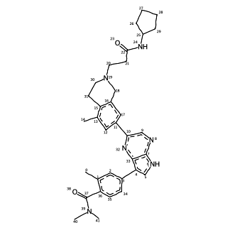 Cc1cc(-c2c[nH]c3ncc(-c4cc(C)c5c(c4)CN(CCC(=O)NC4CCCC4)CC5)nc23)ccc1C(=O)N(C)C